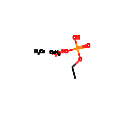 CCOP(=O)(O)O.O.[CaH2].[CaH2]